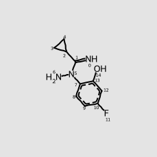 N=C(C1CC1)N(N)c1ccc(F)cc1O